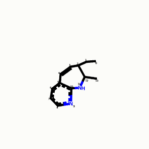 CCC1C=Cc2cccnc2NC1C